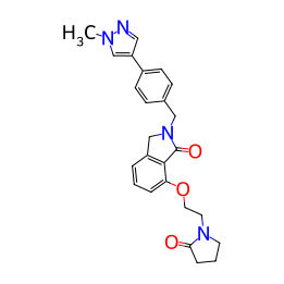 Cn1cc(-c2ccc(CN3Cc4cccc(OCCN5CCCC5=O)c4C3=O)cc2)cn1